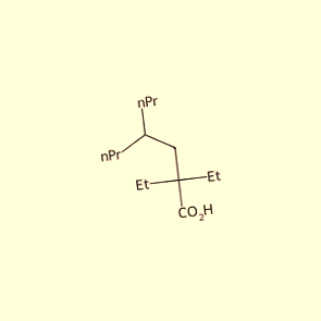 CCCC(CCC)CC(CC)(CC)C(=O)O